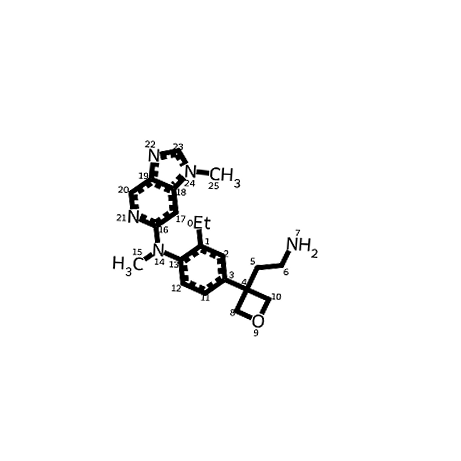 CCc1cc(C2(CCN)COC2)ccc1N(C)c1cc2c(cn1)ncn2C